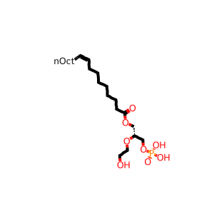 CCCCCCCC/C=C\CCCCCCCC(=O)OC[C@H](COP(=O)(O)O)OCCO